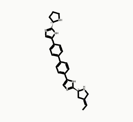 C/C=C1/CN[C@H](c2ncc(-c3ccc(-c4ccc(-c5cnc([C@@H]6CCCN6)[nH]5)cc4)cc3)[nH]2)C1